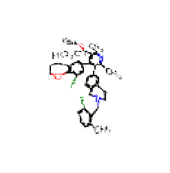 Cc1cccc(F)c1CN1CCc2cc(-c3c(C)nc(C)c([C@H](OC(C)(C)C)C(=O)O)c3-c3cc(F)c4c(c3)CCCO4)ccc2C1